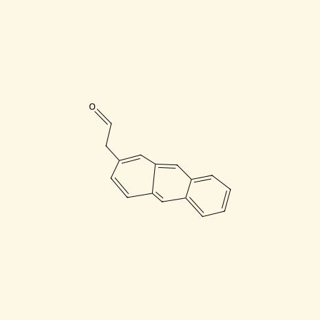 O=CCc1ccc2cc3ccccc3cc2c1